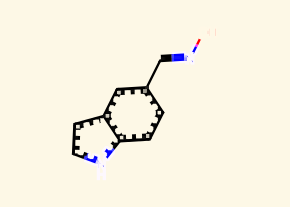 ON=Cc1ccc2[nH]ccc2c1